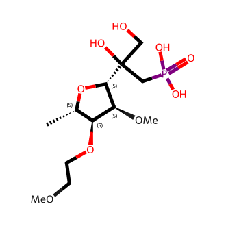 COCCO[C@@H]1[C@H](OC)[C@@H](C(O)(CO)CP(=O)(O)O)O[C@H]1C